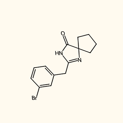 O=C1NC(Cc2cccc(Br)c2)=NC12CCCC2